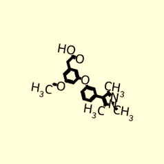 CCOc1cc(CC(=O)O)cc(Oc2cccc(-c3c(C)nn(C)c3C)c2)c1